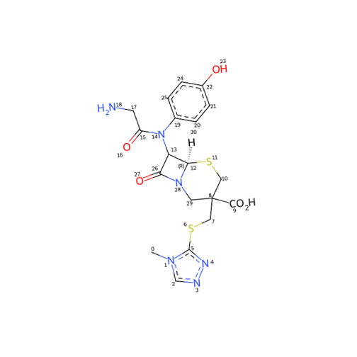 Cn1cnnc1SCC1(C(=O)O)CS[C@@H]2C(N(C(=O)CN)c3ccc(O)cc3)C(=O)N2C1